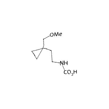 COCC1(CCNC(=O)O)CC1